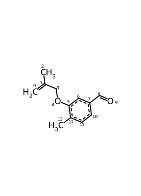 C=C(C)COc1cc(C=O)ccc1C